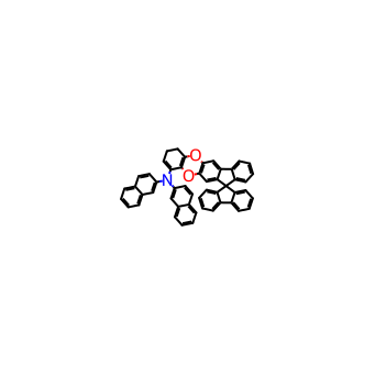 C1=C(N(c2ccc3ccccc3c2)c2ccc3ccccc3c2)C2=C(CC1)Oc1cc3c(cc1O2)C1(c2ccccc2-c2ccccc21)c1ccccc1-3